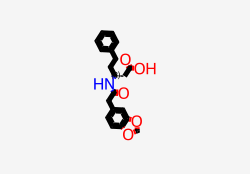 O=C(O)C[C@@H](CCc1ccccc1)NC(=O)Cc1ccc2c(c1)OCO2